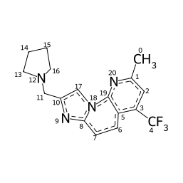 Cc1cc(C(F)(F)F)c2ccc3nc(CN4CCCC4)cn3c2n1